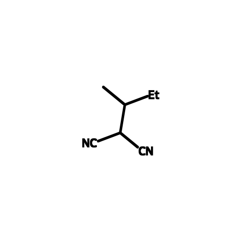 CCC(C)C(C#N)C#N